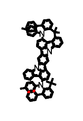 Cc1ccc(N(c2c(-c3ccccc3)cccc2C(C)(C)C)c2ccc3c4cc5c(cc4n4c6ccccc6c2c34)c2ccc3c4c6c(cccc6n5c24)C(C)(C)c2cccc(-c4ccccc4)c2N3c2ccc(C)cc2)cc1